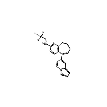 FC(F)(F)CNc1ncc2c(n1)CCCC=C2c1ccn2nccc2c1